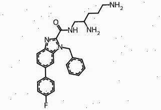 NCCCC(N)CNC(=O)c1nc2ccc(-c3ccc(F)cc3)cc2n1Cc1ccccc1